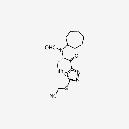 CC(C)C[C@@H](C(=O)c1nnc(SCC#N)o1)N(C=O)C1CCCCCC1